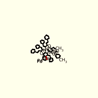 Cc1ccc(S(=O)(=O)n2c(C)cc3nc(N(C(=Cc4ccccc4)C(=O)C=Cc4ccccc4)N(C(=Cc4ccccc4)C(=O)C=Cc4ccccc4)C(=Cc4ccccc4)C(=O)C(=Cc4ccccc4)C(=O)O)cnc32)cc1.[Pd].[Pd]